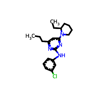 CCCc1cc(N2CCCCC2CC)nc(Nc2cccc(Cl)c2)n1